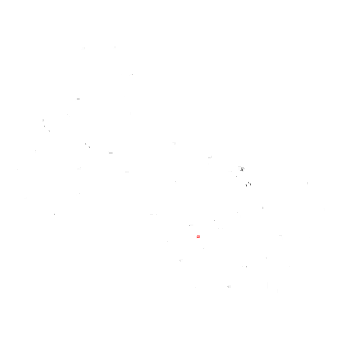 CC1(C)c2ccccc2C2(c3ccccc3Sc3c(-c4ccc5c6ccccc6c6nc7ccccc7n6c5c4)cccc32)c2ccccc21